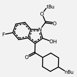 CCCCC1CCC(C(=O)c2c(O)n(C(=O)OC(C)(C)C)c3ccc(F)cc23)CC1